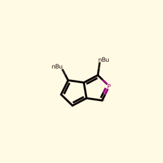 CCCCC1=CC=C2[C]=PC(CCCC)=C21